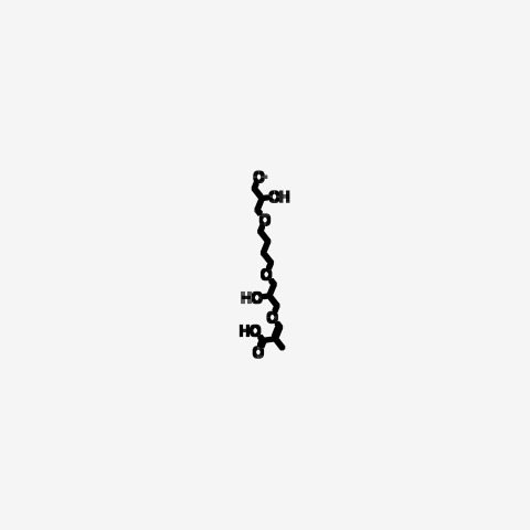 CC(=COCC(O)COCCCCOCC(O)C[O])C(=O)O